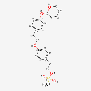 CS(=O)(=O)OCCc1ccc(OCCc2ccc(OC3CCCCO3)cc2)cc1